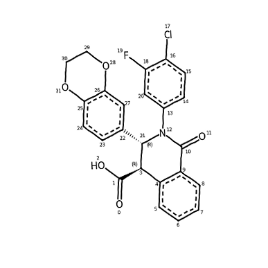 O=C(O)[C@@H]1c2ccccc2C(=O)N(c2ccc(Cl)c(F)c2)[C@H]1c1ccc2c(c1)OCCO2